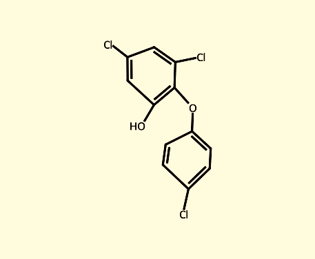 Oc1cc(Cl)cc(Cl)c1Oc1ccc(Cl)cc1